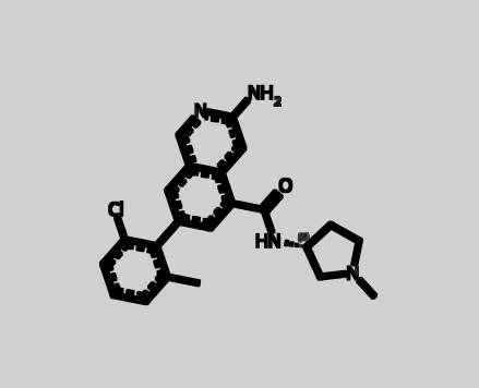 Cc1cccc(Cl)c1-c1cc(C(=O)N[C@@H]2CCN(C)C2)c2cc(N)ncc2c1